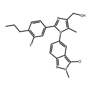 CCCc1ccc(-c2nc(CO)c(C)n2-c2ccc3nn(C)c(Cl)c3c2)cc1F